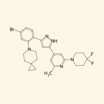 Cc1cc(-c2cc(-c3ccc(Br)cc3N3CCC4(CC3)CC4)n[nH]2)cc(N2CCC(F)(F)CC2)n1